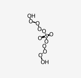 O=S(=O)(OOOOO)OOOOO